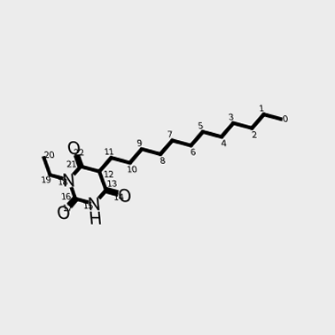 CCCCCCCCCCCCC1C(=O)NC(=O)N(CC)C1=O